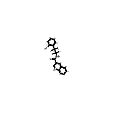 CC(C)(NC(=O)c1cnc2ccccc2c1)C(C)(C)c1ccccc1F